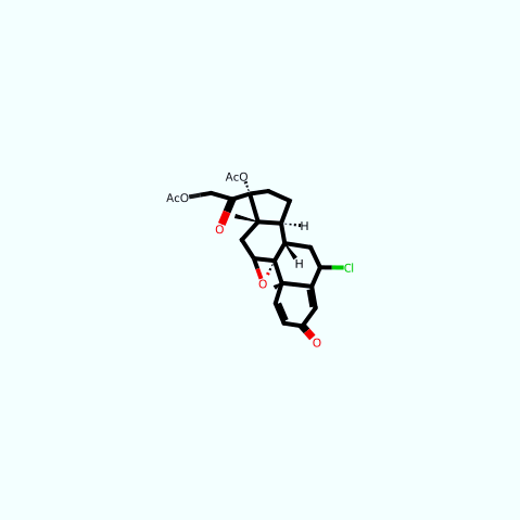 CC(=O)OCC(=O)[C@@]1(OC(C)=O)CC[C@H]2[C@@H]3CC(Cl)C4=CC(=O)C=C[C@]4(C)[C@]34OC4C[C@@]21C